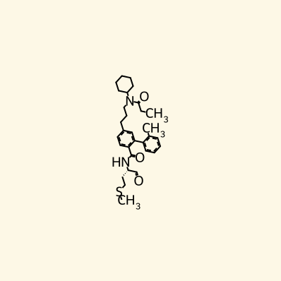 CCC(=O)N(CCCc1ccc(C(=O)N[C@H](C=O)CCSC)c(-c2ccccc2C)c1)C1CCCCC1